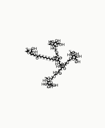 CC(=O)NC1C(OCCOCCNC(=O)CCC(NC(=O)CCC(NC(=O)CCCCCCCCCCC(=O)NCC2CC(OC(C)(C)C)C(CO)O2)C(=O)NCCOCCOC2OC(CO)C(O)C(O)C2NC(C)=O)C(=O)NCCOCCOC2OC(CO)C(O)C(O)C2NC(C)=O)OC(CO)C(O)C1O